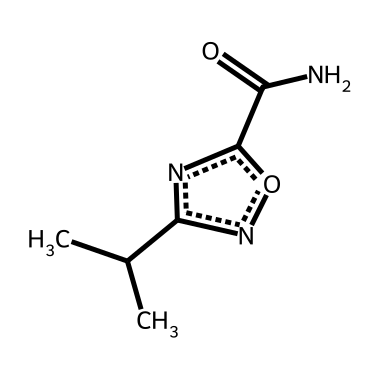 CC(C)c1noc(C(N)=O)n1